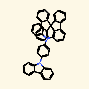 c1ccc(N(c2ccc(-n3c4ccccc4c4ccccc43)cc2)c2cccc3c2C2(c4ccccc4-c4ccccc42)c2ccccc2-3)cc1